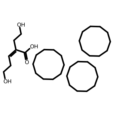 C1CCCCCCCCC1.C1CCCCCCCCC1.C1CCCCCCCCC1.O=C(O)C(=CCCO)CCO